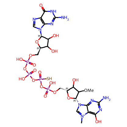 COC1C(O)[C@@H](COP(=O)(O)OP(=O)(S)OP(=O)(O)OP(=O)(O)OC[C@H]2O[C@@H](n3cnc4c(=O)[nH]c(N)nc43)C(O)C2O)O[C@H]1n1c[n+](C)c2c(O)nc(N)nc21